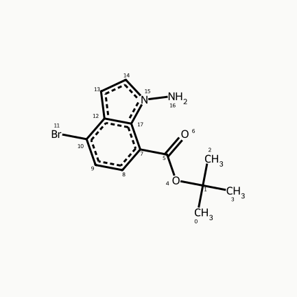 CC(C)(C)OC(=O)c1ccc(Br)c2ccn(N)c12